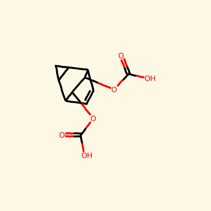 O=C(O)OC1C2C=CC(C3CC23)C1OC(=O)O